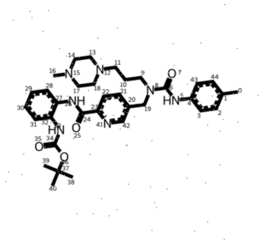 Cc1ccc(NC(=O)N(CCCN2CCN(C)CC2)Cc2ccc(C(=O)Nc3ccccc3NC(=O)OC(C)(C)C)nc2)cc1